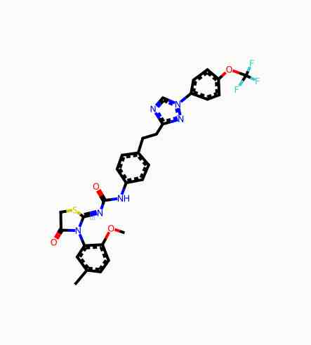 COc1ccc(C)cc1N1C(=O)CS/C1=N\C(=O)Nc1ccc(CCc2ncn(-c3ccc(OC(F)(F)F)cc3)n2)cc1